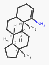 C[C@@]12CCC[C@H]1[C@@H]1CCC3CCC=C(N)[C@]3(C)[C@H]1CC2